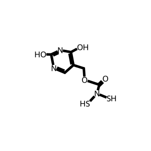 O=C(OCc1cnc(O)nc1O)N(S)S